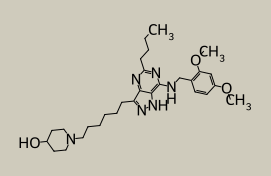 CCCCc1nc(NCc2ccc(OC)cc2OC)c2[nH]nc(CCCCCCN3CCC(O)CC3)c2n1